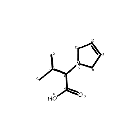 CC(C)C(C(=O)O)N1CC=CC1